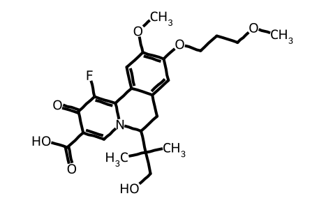 COCCCOc1cc2c(cc1OC)-c1c(F)c(=O)c(C(=O)O)cn1C(C(C)(C)CO)C2